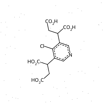 O=C(O)CC(C(=O)O)c1cncc(C(CC(=O)O)C(=O)O)c1Cl